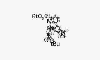 CCOC(=O)Cn1nc(C2CC3(C2)CN(C(=O)OC(C)(C)C)C3)c2c(-c3cc4c(cnn4C)cc3C#N)cccc21